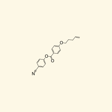 C=CCCCOc1ccc(C(=O)Oc2ccc(C#N)cc2)cc1